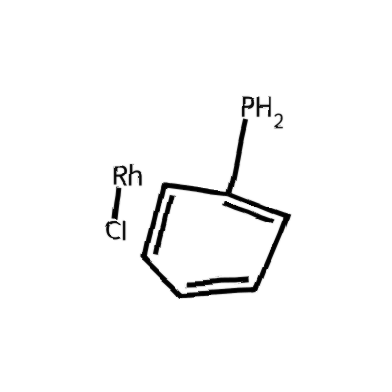 Pc1ccccc1.[Cl][Rh]